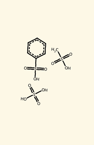 CS(=O)(=O)O.O=S(=O)(O)O.O=S(=O)(O)c1ccccc1